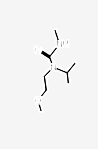 CNC(=O)N(CCOC)C(C)C